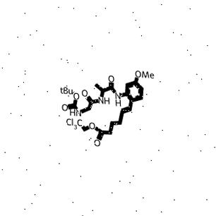 COc1ccc(C=CCCCC(=O)OCC(Cl)(Cl)Cl)c(NC(=O)C(C)NC(=O)CNC(=O)OC(C)(C)C)c1